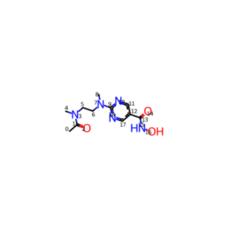 CC(=O)N(C)CCN(C)c1ncc(C(=O)NO)cn1